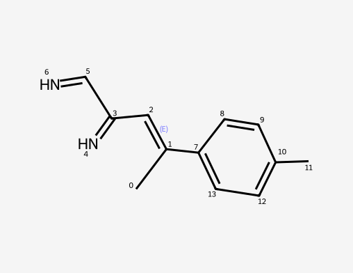 C/C(=C\C(=N)C=N)c1ccc(C)cc1